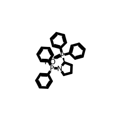 OC=P(c1ccccc1)(c1ccccc1)[C@H]1CCCN1P(c1ccccc1)c1ccccc1